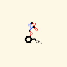 CCc1ccccc1OCn1ncoc1=O